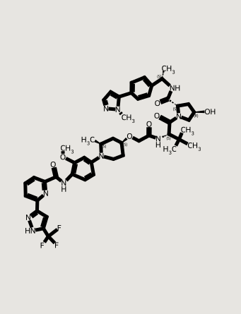 COc1cc(N2CC[C@H](OCC(=O)N[C@H](C(=O)N3C[C@H](O)C[C@H]3C(=O)N[C@@H](C)c3ccc(-c4ccnn4C)cc3)C(C)(C)C)C[C@@H]2C)ccc1NC(=O)c1cccc(-c2cc(C(F)(F)F)[nH]n2)n1